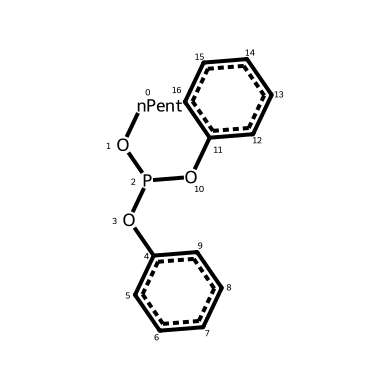 CCCCCOP(Oc1ccccc1)Oc1ccccc1